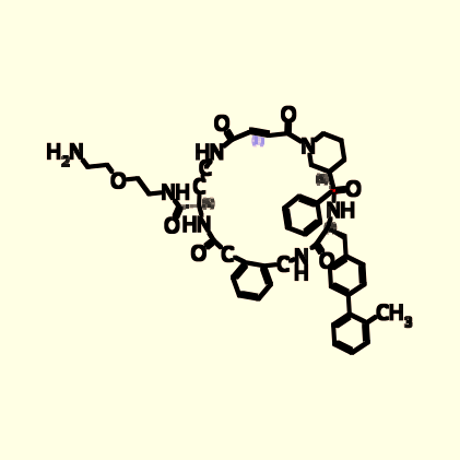 Cc1ccccc1-c1ccc(C[C@@H]2NC(=O)[C@]3(Cc4ccccc4)CCCN(C3)C(=O)/C=C/C(=O)NCC[C@@H](C(=O)NCCOCCN)NC(=O)Cc3ccccc3CNC2=O)cc1